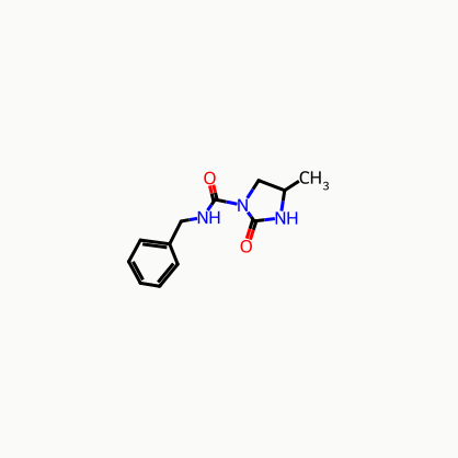 CC1CN(C(=O)NCc2ccccc2)C(=O)N1